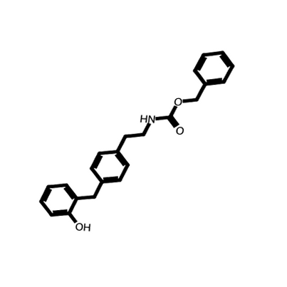 O=C(NCCc1ccc(Cc2ccccc2O)cc1)OCc1ccccc1